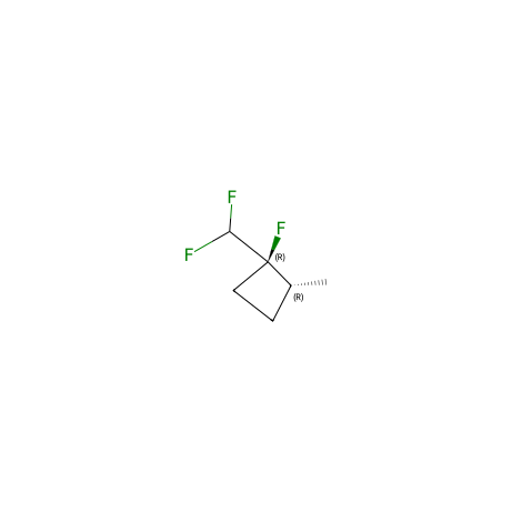 C[C@@H]1CC[C@]1(F)C(F)F